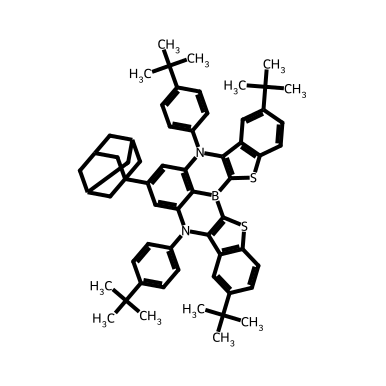 CC(C)(C)c1ccc(N2c3cc(C45CC6CC(CC(C6)C4)C5)cc4c3B(c3sc5ccc(C(C)(C)C)cc5c32)c2sc3ccc(C(C)(C)C)cc3c2N4c2ccc(C(C)(C)C)cc2)cc1